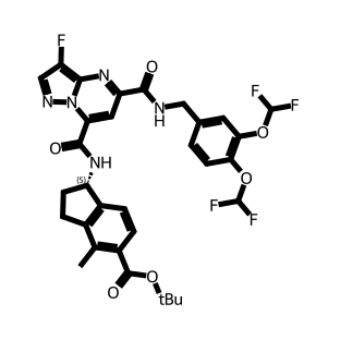 Cc1c(C(=O)OC(C)(C)C)ccc2c1CC[C@@H]2NC(=O)c1cc(C(=O)NCc2ccc(OC(F)F)c(OC(F)F)c2)nc2c(F)cnn12